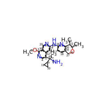 COc1ncc([C@@](C)(N)C2CC2)c2cc(Nc3ccc4c(n3)[C@@H](C)[C@H](C)OC4)ncc12